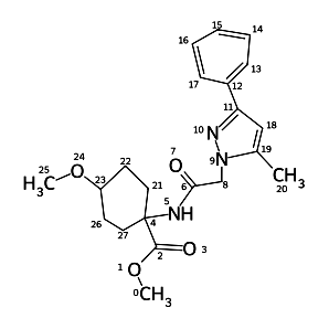 COC(=O)C1(NC(=O)Cn2nc(-c3ccccc3)cc2C)CCC(OC)CC1